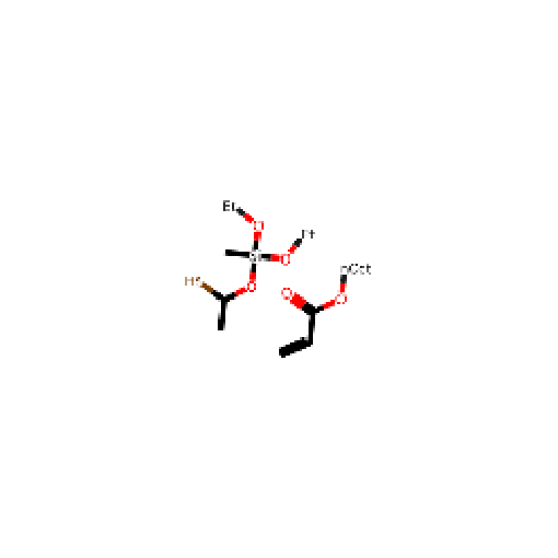 C=CC(=O)OCCCCCCCC.CCO[Si](C)(OCC)OC(C)S